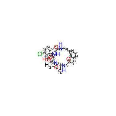 CN1C(=O)[C@H](C2CC2)NCC2CCc3cccc(c3O2)CCCNC(=O)[C@@H](Cc2ccc(Cl)cc2)NC(=O)[C@@H]1CO